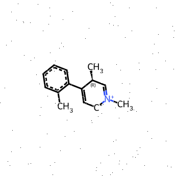 Cc1ccccc1C1=C[CH-][N+](C)=C[C@@H]1C